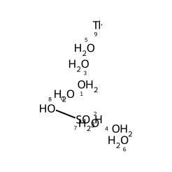 O.O.O.O.O.O.O.O=S(=O)(O)O.[Tl]